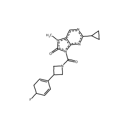 Cn1c(=O)n(C(=O)N2CC(C3=CCC(F)C=C3)C2)c2nc(C3CC3)ncc21